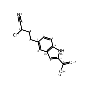 N#CC(Cl)CCc1ccc2[nH]c(C(=O)O)cc2c1